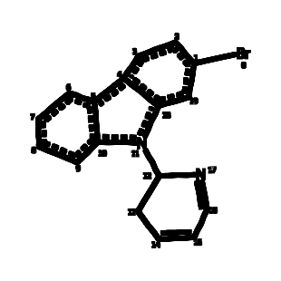 Brc1ccc2c3ccccc3n(C3CC=CC=N3)c2c1